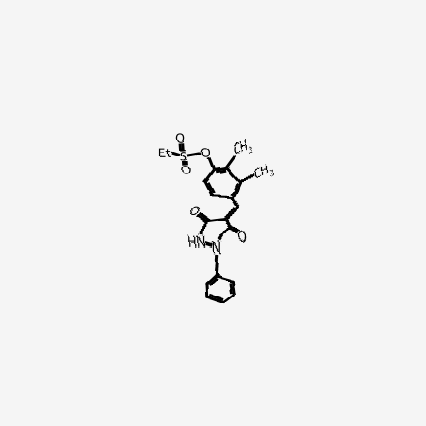 CCS(=O)(=O)Oc1ccc(/C=C2\C(=O)NN(c3ccccc3)C2=O)c(C)c1C